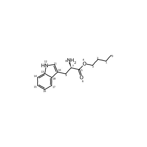 CCCCOC(=O)[C@H](N)Cc1c[nH]c2ccccc12